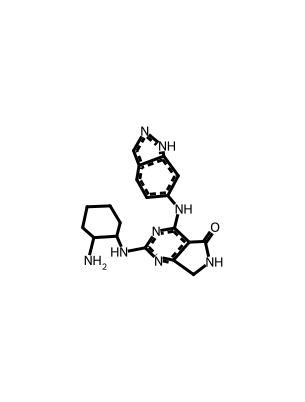 NC1CCCCC1Nc1nc2c(c(Nc3ccc4cn[nH]c4c3)n1)C(=O)NC2